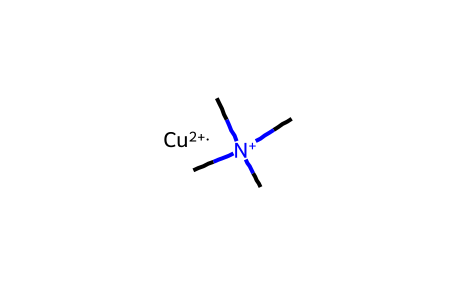 C[N+](C)(C)C.[Cu+2]